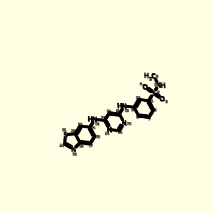 CNS(=O)(=O)c1cccc(Nc2cc(Nc3ccc4ncsc4c3)ncn2)c1